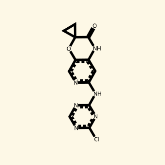 O=C1Nc2cc(Nc3ncnc(Cl)n3)ncc2OC12CC2